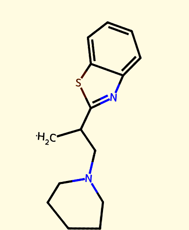 [CH2]C(CN1CCCCC1)c1nc2ccccc2s1